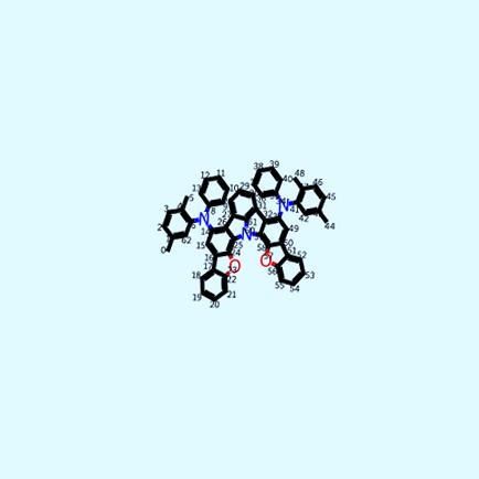 Cc1ccc(C)c(N(c2ccccc2)c2cc3c4ccccc4oc3c3c2c2cccc4c5c(N(c6ccccc6)c6cc(C)ccc6C)cc6c7ccccc7oc6c5n3c24)c1